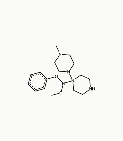 CON(Oc1ccccc1)[N+]1(N2CCN(C)CC2)CCNCC1